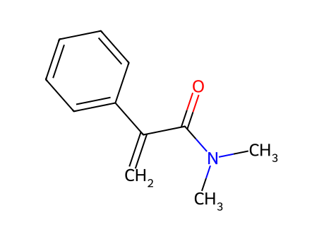 C=C(C(=O)N(C)C)c1ccccc1